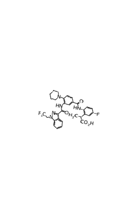 CC(C(=O)O)c1cc(F)ccc1NC(=O)c1ccc(N2CCCCC2)c(NC(=O)c2nn(CC(F)(F)F)c3ccccc23)c1